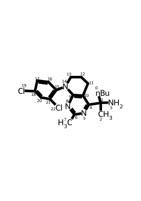 CCCCC(C)(N)c1nc(C)nc2c1CCCN2c1ccc(Cl)cc1Cl